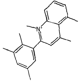 Cc1cc(C)c(C)c(-c2cc(C)c3c(C)cccc3[n+]2C)c1